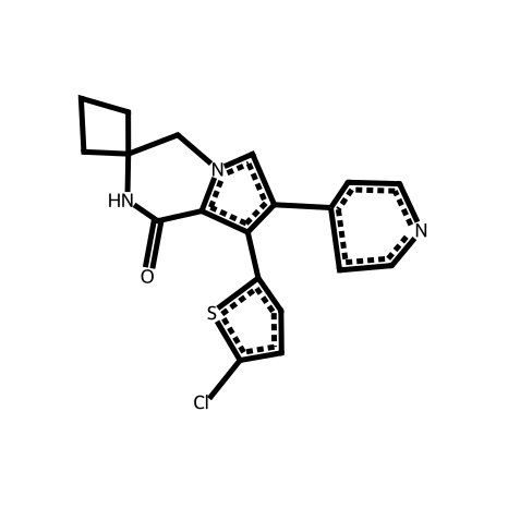 O=C1NC2(CCC2)Cn2cc(-c3ccncc3)c(-c3ccc(Cl)s3)c21